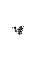 CC(C)C[C@H](NC(=O)[C@H](Cc1ccc(OC(C)(C)C)cc1)NC(=O)[C@@H](N)CCCCNC(=O)OC(C)(C)C)C(=O)O